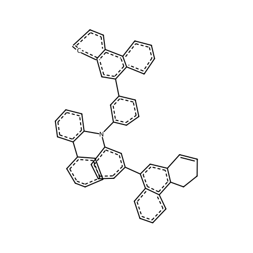 C1=Cc2cc(-c3cccc(N(c4cccc(-c5cc6ccccc6c6ccccc56)c4)c4ccccc4-c4ccccc4)c3)c3ccccc3c2CC1